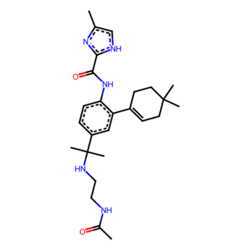 CC(=O)NCCNC(C)(C)c1ccc(NC(=O)c2nc(C)c[nH]2)c(C2=CCC(C)(C)CC2)c1